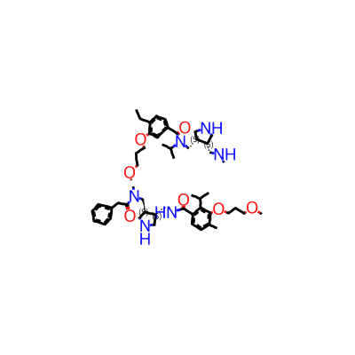 CCc1ccc(C(=O)N(C[C@@H]2CNC[C@@H]2CNC)C(C)C)cc1OCCCOC.COCCCOc1c(C)ccc(C(=O)NC[C@@H]2CNC[C@H]2CN(C)C(=O)Cc2ccccc2)c1C(C)C